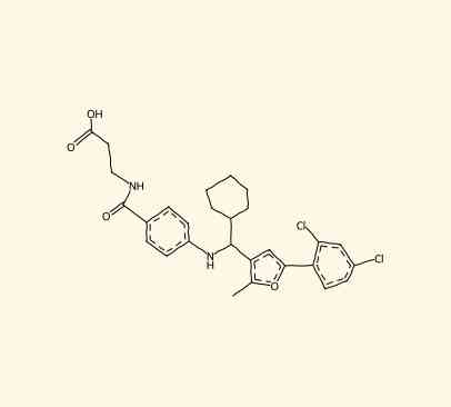 Cc1oc(-c2ccc(Cl)cc2Cl)cc1C(Nc1ccc(C(=O)NCCC(=O)O)cc1)C1CCCCC1